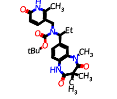 CCC(c1ccc2c(c1)N(C)C(=O)C(C)(C)C(=O)N2)N(Cc1ccc(=O)[nH]c1C)C(=O)OC(C)(C)C